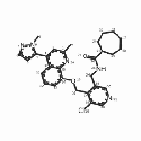 Cc1cc(-c2ccnn2C)c2cccc(OCc3c(Cl)cncc3CNC(=O)C3CCCCCC3)c2n1